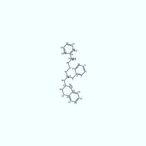 c1ccc(CN(CCCNc2ncccn2)CC2CCc3ccccc3O2)cc1